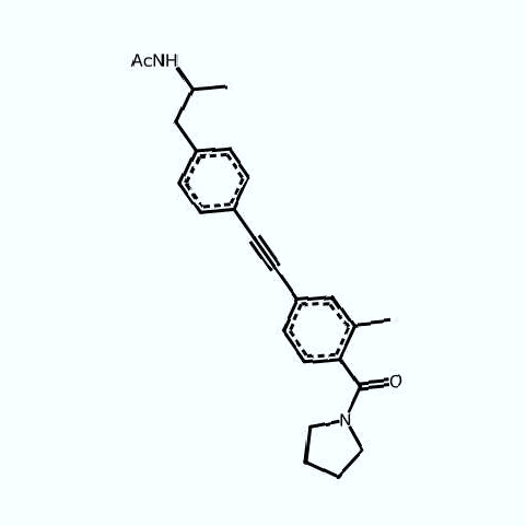 CC(=O)NC(C)Cc1ccc(C#Cc2ccc(C(=O)N3CCCC3)c(C)c2)cc1